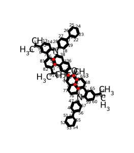 CC(C)c1ccc(-c2cc(C(C)C)ccc2N(c2ccc(-c3ccccc3)cc2)c2ccc3cc4c(cc3c2)oc2cc3cc(N(c5ccc(-c6ccccc6)cc5)c5ccc(C(C)C)cc5-c5ccc(C(C)C)cc5)ccc3cc24)cc1